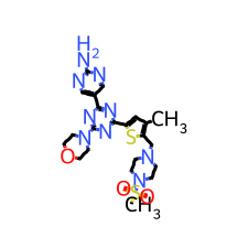 Cc1cc(-c2nc(-c3cnc(N)nc3)nc(N3CCOCC3)n2)sc1CN1CCN(S(C)(=O)=O)CC1